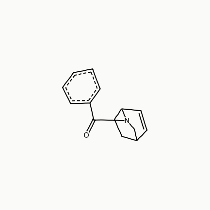 O=C(c1ccccc1)N1CC2C=CC1CC2